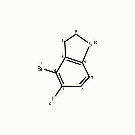 Fc1ccc2c(c1Br)CCS2